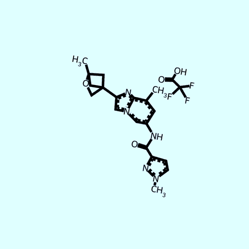 Cc1cc(NC(=O)c2ccn(C)n2)cn2cc(C34COC(C)(C3)C4)nc12.O=C(O)C(F)(F)F